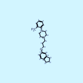 FC(F)(F)c1ccccc1N1CCN(CCCOc2ccc3c(c2)CCC3)CC1